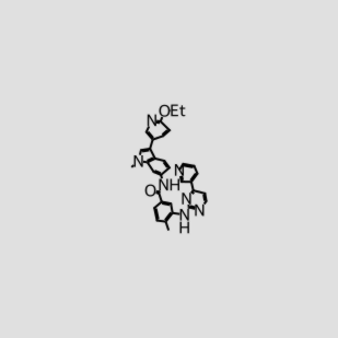 CCOc1ccc(-c2cn(C)c3cc(NC(=O)c4ccc(C)c(Nc5nccc(-c6cccnc6)n5)c4)ccc23)cn1